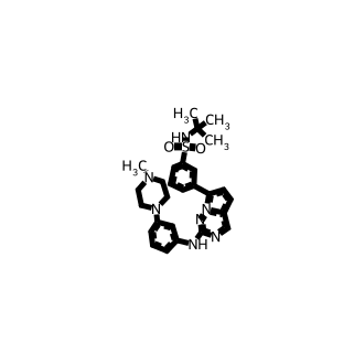 CN1CCN(c2cccc(Nc3ncc4ccc(-c5cccc(S(=O)(=O)NC(C)(C)C)c5)n4n3)c2)CC1